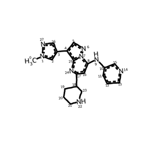 Cn1cc(-c2cnn3c(Nc4cccnc4)cc(C4CCCNC4)nc23)cn1